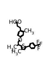 Cc1cc(OCC(C)c2sc(-c3ccc(C(F)(F)F)cc3)cc2C)ccc1CCC(=O)O